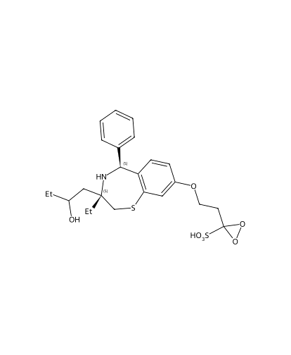 CCC(O)C[C@@]1(CC)CSc2cc(OCCC3(S(=O)(=O)O)OO3)ccc2[C@H](c2ccccc2)N1